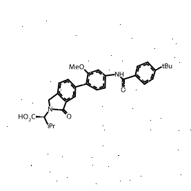 COc1cc(NC(=O)c2ccc(C(C)(C)C)cc2)ccc1-c1ccc2c(c1)C(=O)N([C@H](C(=O)O)C(C)C)C2